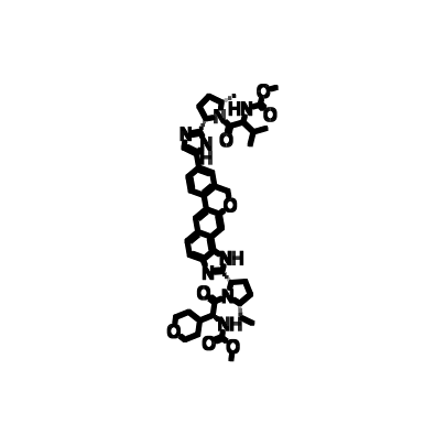 CC[C@H]1CC[C@@H](c2nc3ccc4cc5c(cc4c3[nH]2)OCc2cc(-c3cnc([C@@H]4CC[C@H](C)N4C(=O)C(NC(=O)OC)C(C)C)[nH]3)ccc2-5)N1C(=O)[C@@H](NC(=O)OC)C1CCOCC1